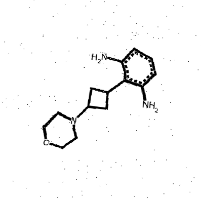 Nc1cccc(N)c1C1CC(N2CCOCC2)C1